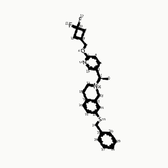 C[C@H](c1ccc(OCC2CC(F)(F)C2)nc1)N1CCc2ccc(SCc3ccccc3)cc2C1